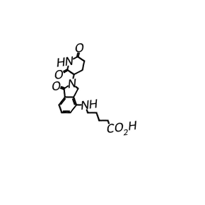 O=C(O)CCCCNc1cccc2c1CN(C1CCC(=O)NC1=O)C2=O